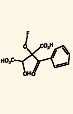 O=C(O)C(O)C(OF)(C(=O)O)C(=O)c1ccccc1